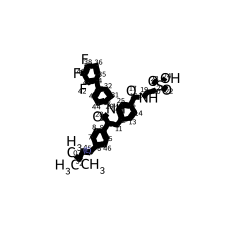 CC(C)(C)/C=C/c1ccc(C(Cc2ccc(C(=O)NCCS(=O)(=O)O)cc2)C(=O)Nc2ccc(-c3ccc(F)c(F)c3F)cc2)cc1